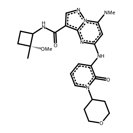 CNc1cc(Nc2cccn(C3CCOCC3)c2=O)nc2c(C(=O)NC3CC[C@@]3(C)OC)cnn12